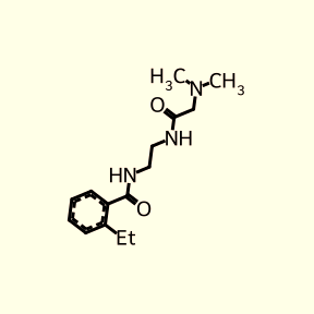 CCc1ccccc1C(=O)NCCNC(=O)CN(C)C